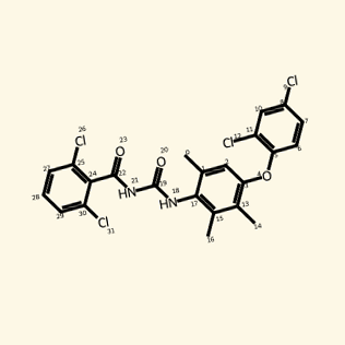 Cc1cc(Oc2ccc(Cl)cc2Cl)c(C)c(C)c1NC(=O)NC(=O)c1c(Cl)cccc1Cl